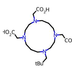 CC(C)(C)CN1CCCN(CC(=O)O)CCN(CC(=O)O)CCCN(CC(=O)O)CC1